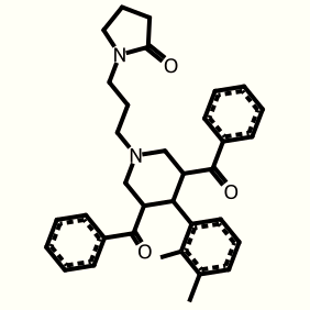 Cc1cccc(C2C(C(=O)c3ccccc3)CN(CCCN3CCCC3=O)CC2C(=O)c2ccccc2)c1C